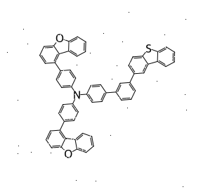 c1cc(-c2ccc(N(c3ccc(-c4cccc5oc6ccccc6c45)cc3)c3ccc(-c4cccc5oc6ccccc6c45)cc3)cc2)cc(-c2ccc3sc4ccccc4c3c2)c1